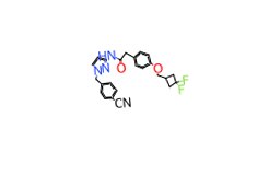 N#Cc1ccc(Cn2ccc(NC(=O)Cc3ccc(OCC4CC(F)(F)C4)cc3)n2)cc1